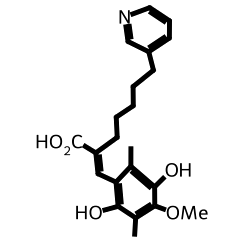 COc1c(C)c(O)c(C=C(CCCCCc2cccnc2)C(=O)O)c(C)c1O